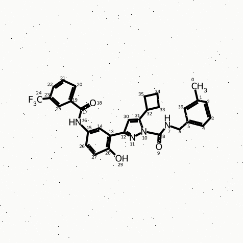 Cc1cccc(CNC(=O)n2nc(-c3cc(NC(=O)c4cccc(C(F)(F)F)c4)ccc3O)cc2C2CCC2)c1